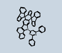 c1ccc(-c2cc(-n3c4cc5c(cc4c4ccc6ccccc6c43)C3(c4ccccc4-c4ccccc43)c3ccccc3C53c4ccccc4-c4ccccc43)nc(-c3ccccc3)n2)cc1